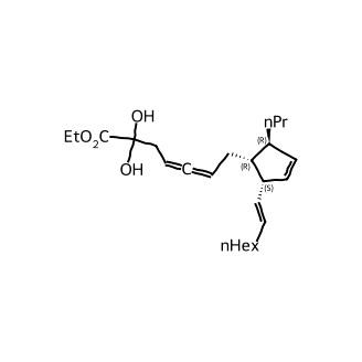 CCCCCCC=C[C@H]1C=C[C@H](CCC)[C@H]1CC=C=CCC(O)(O)C(=O)OCC